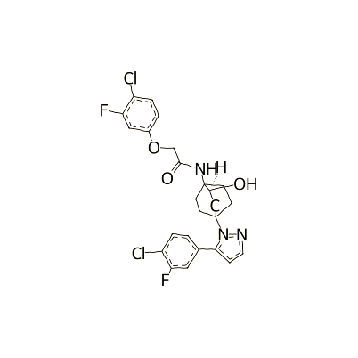 O=C(COc1ccc(Cl)c(F)c1)NC12CCC(n3nccc3-c3ccc(Cl)c(F)c3)(CC1)C[C@@H]2O